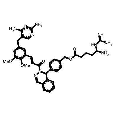 COc1cc(Cc2cnc(N)nc2N)cc(C=CC(=O)N2N=Cc3ccccc3C2c2ccc(COC(=O)CCCC(N)NC(=N)N)cc2)c1OC